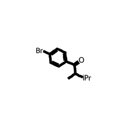 CC(C)C(C)C(=O)c1ccc(Br)cc1